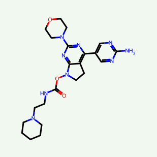 Nc1ncc(-c2nc(N3CCOCC3)nc3c2CCN3OC(=O)NCCN2CCCCC2)cn1